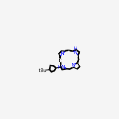 CC(C)(C)c1ccc(-c2cc3cc4nc(cc5ccc(cc6nc(cc2[nH]3)C=C6)[nH]5)C=C4)cc1